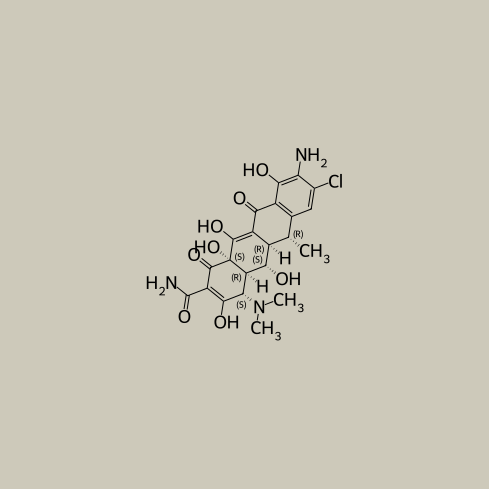 C[C@H]1c2cc(Cl)c(N)c(O)c2C(=O)C2=C(O)[C@]3(O)C(=O)C(C(N)=O)=C(O)[C@@H](N(C)C)[C@@H]3[C@@H](O)[C@@H]21